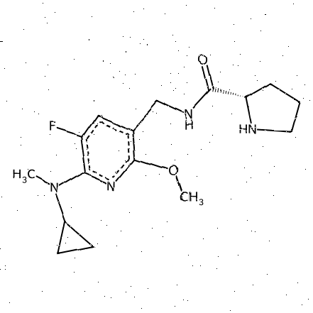 COc1nc(N(C)C2CC2)c(F)cc1CNC(=O)[C@@H]1CCCN1